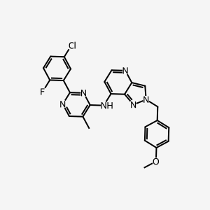 COc1ccc(Cn2cc3nccc(Nc4nc(-c5cc(Cl)ccc5F)ncc4C)c3n2)cc1